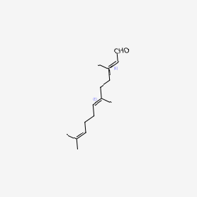 CC(C)=CCC/C=C(\C)CC/C(C)=C/C=O